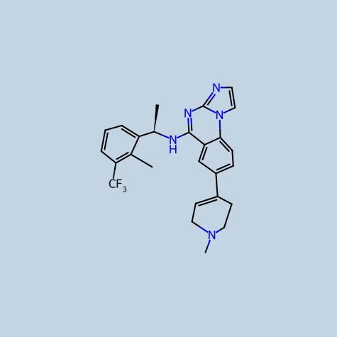 Cc1c([C@@H](C)Nc2nc3nccn3c3ccc(C4=CCN(C)CC4)cc23)cccc1C(F)(F)F